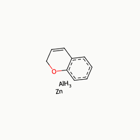 C1=Cc2ccccc2OC1.[AlH3].[Zn]